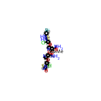 COc1c(C(N)=O)cc2c(Oc3ccc(NC(=S)NC4CCC(F)(F)CC4)c(Cl)c3)ccnc2c1COc1cc2nccc(Oc3ccc(N4CC(=O)N(C)C4=S)c(Cl)c3)c2cc1C(N)=O